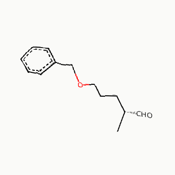 C[C@@H](C=O)CCCOCc1ccccc1